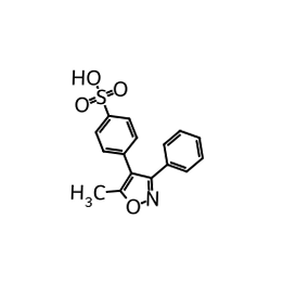 Cc1onc(-c2ccccc2)c1-c1ccc(S(=O)(=O)O)cc1